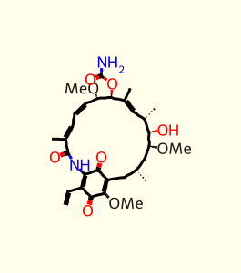 C=CC1=C2NC(=O)/C(C)=C/C=C\[C@H](OC)[C@@H](OC(N)=O)/C(C)=C/[C@H](C)[C@@H](O)[C@@H](OC)C[C@H](C)CC(=C(OC)C1=O)C2=O